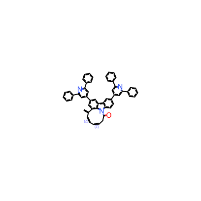 C=C1/C=C\C=C/CC(=O)n2c3ccc(-c4cc(-c5ccccc5)nc(-c5ccccc5)c4)cc3c3cc(-c4cc(-c5ccccc5)nc(-c5ccccc5)c4)cc1c32